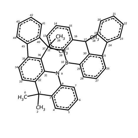 CC1(C)c2ccccc2N(B2c3ccccc3C3(C)c4ccccc4-c4cccc2c43)c2c1ccc1c2C(C)(C)c2ccccc2-1